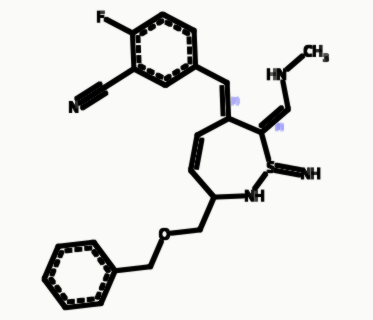 CN/C=C1\C(=C\c2ccc(F)c(C#N)c2)C=CC(COCc2ccccc2)NS1=N